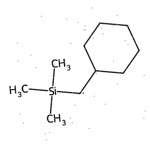 C[Si](C)(C)[CH]C1CCCCC1